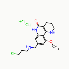 COc1cc(CNCCCCl)cc2[nH]c(=O)c3c(c12)NCCC3.Cl.Cl